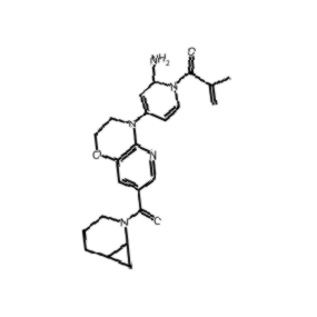 C=C(C)C(=O)N1C=CC(N2CCOc3cc(C(=O)N4CCCC5CC54)cnc32)=CC1N